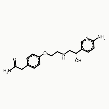 NC(=O)Cc1ccc(OCCNC[C@@H](O)c2ccc(N)nc2)cc1